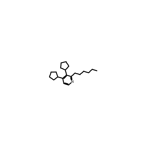 CCCCCCc1nccc(C2CCCC2)c1C1CCCC1